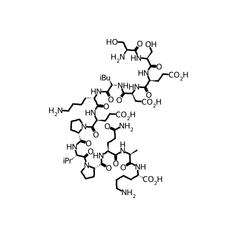 CC[C@H](C)[C@H](NC(=O)[C@H](CC(=O)O)NC(=O)[C@H](CCC(=O)O)NC(=O)[C@H](CO)NC(=O)[C@@H](N)CO)C(=O)N[C@@H](CCCCN)C(=O)N[C@@H](CCC(=O)O)C(=O)N1CCC[C@H]1C(=O)N[C@H](C(=O)N1CCC[C@H]1C(=O)N[C@@H](CCC(N)=O)C(=O)N[C@@H](C)C(=O)N[C@@H](CCCCN)C(=O)O)C(C)C